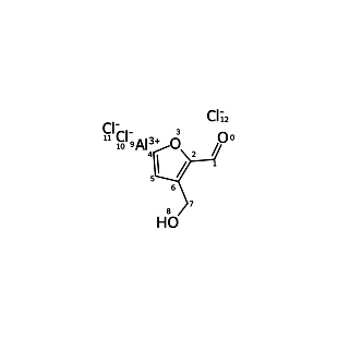 O=Cc1occc1CO.[Al+3].[Cl-].[Cl-].[Cl-]